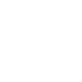 CC(C)CC=Nn1c(=O)c(C2=NS(=O)(=O)c3cc(OCc4ccccc4)ccc3N2)c(O)c2ccccc21